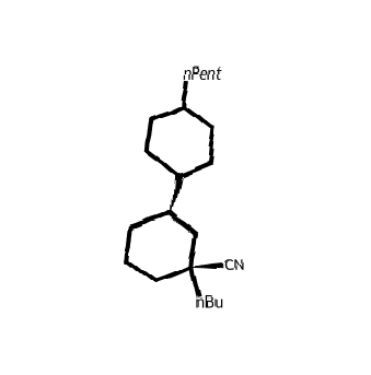 CCCCCC1CCC([C@@H]2CCC[C@@](C#N)(CCCC)C2)CC1